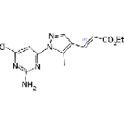 CCOC(=O)/C=C/c1cnn(-c2cc(Cl)nc(N)n2)c1C